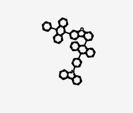 c1ccc(-c2c3ccccc3c(-c3ccc4c(c3)oc3cccc(-c5c6ccccc6c(-c6ccc(-n7c8ccccc8c8ccccc87)cc6)c6ccccc56)c34)c3ccccc23)cc1